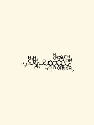 CC(C)CC(N)C(=O)NCC(=O)Nc1ccc2c(c1O)C(=O)C1=C(O)C3(O)C(=O)C(C(N)=O)=C(O)C(N(C)C)C3C(O)C1C2C